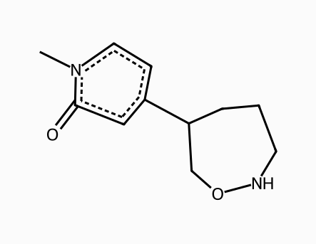 Cn1ccc(C2CCCNOC2)cc1=O